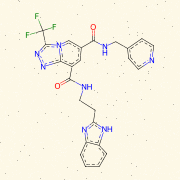 O=C(NCc1ccncc1)c1cc(C(=O)NCCc2nc3ccccc3[nH]2)c2nnc(C(F)(F)F)n2c1